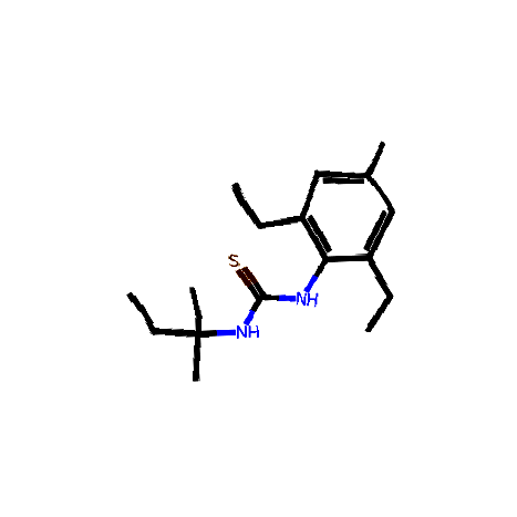 CCc1cc(C)cc(CC)c1NC(=S)NC(C)(C)CC